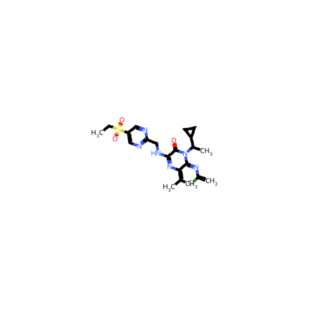 C=C(Cl)/N=C1\C(=C(C)C)N=C(NCc2ncc(S(=O)(=O)CC)cn2)C(=O)N1C(C)C1CC1